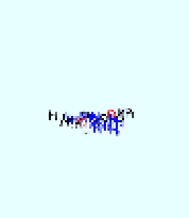 CCCc1ccnc(NC(=O)c2ccc(-c3nn(C4CCCN(C(=O)/C=C/CN(C)C)C4)c4ncnc(N)c34)cc2)c1